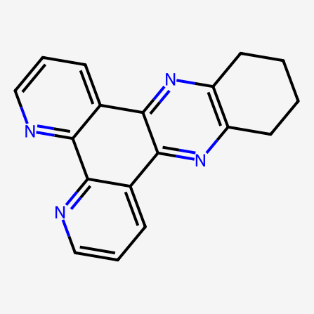 c1cnc2c(c1)c1nc3c(nc1c1cccnc12)CCCC3